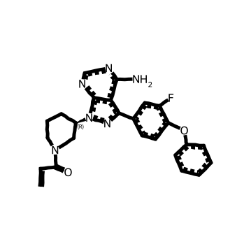 C=CC(=O)N1CCC[C@@H](n2nc(-c3ccc(Oc4ccccc4)c(F)c3)c3c(N)ncnc32)C1